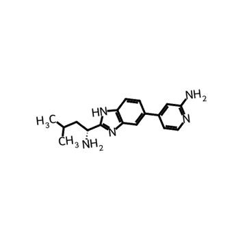 CC(C)C[C@@H](N)c1nc2cc(-c3ccnc(N)c3)ccc2[nH]1